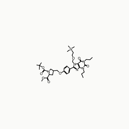 CCCn1c(=O)c2c(nc(-c3ccc(OCC4CC(C(=O)OC)N(C(=O)OC(C)(C)C)C4)cc3)n2COCC[Si](C)(C)C)n(CCC)c1=O